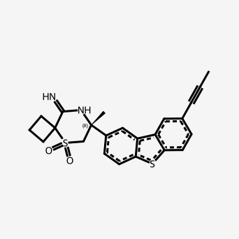 CC#Cc1ccc2sc3ccc([C@]4(C)CS(=O)(=O)C5(CCC5)C(=N)N4)cc3c2c1